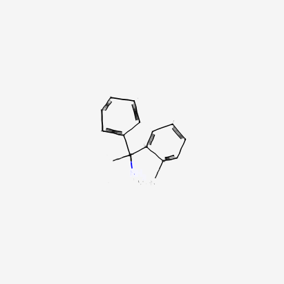 CNc1ccccc1C(N)(C=O)c1ccccc1.Cl